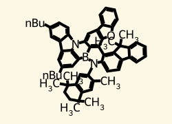 CCCCc1ccc2c(c1)c1cc(CCCC)cc3c1n2-c1cc2c(oc4ccccc42)c2c1B3N(c1cc3c(cc1C)C(C)(C)CCC3(C)C)c1ccc3c(c1-2)C(C)(C)c1ccccc1-3